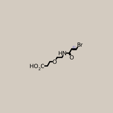 O=C(O)CCOCCNC(=O)/C=C/Br